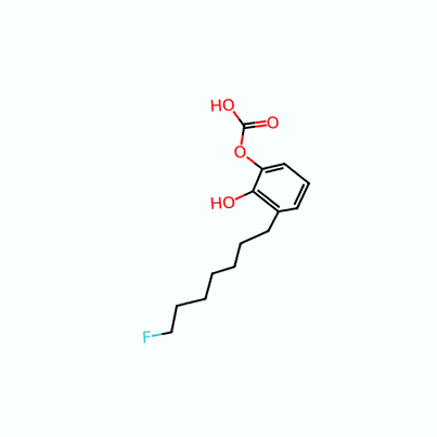 O=C(O)Oc1cccc(CCCCCCCF)c1O